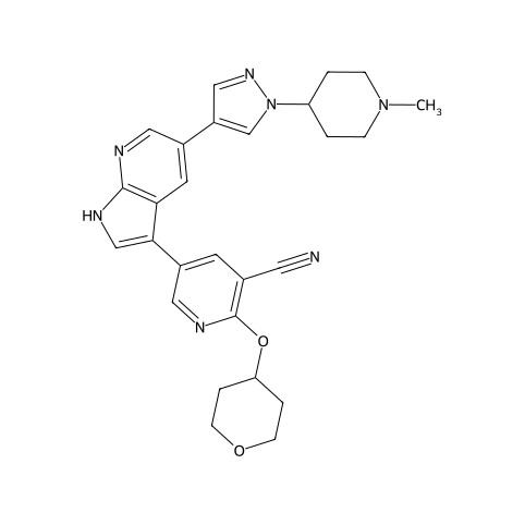 CN1CCC(n2cc(-c3cnc4[nH]cc(-c5cnc(OC6CCOCC6)c(C#N)c5)c4c3)cn2)CC1